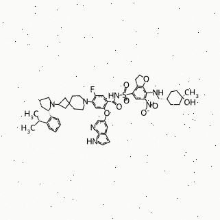 CC(C)c1ccccc1[C@@H]1CCCN1C1CC2(CCN(c3cc(Oc4cnc5[nH]ccc5c4)c(C(=O)NS(=O)(=O)c4cc([N+](=O)[O-])c(NC[C@H]5CC[C@](C)(O)CC5)c5c4CCO5)cc3F)CC2)C1